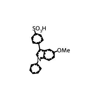 COc1ccc2c(c1)c(-c1ccc(S(=O)(=O)O)cc1)cn2-c1ccccc1